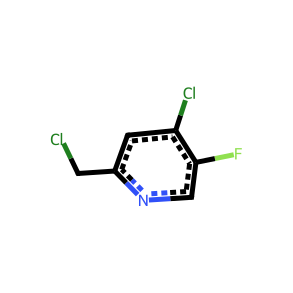 Fc1cnc(CCl)cc1Cl